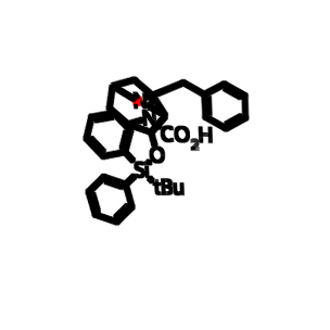 CC(C)(C)[Si](OC1C2C3CC(CC1N3C(=O)O)CN2Cc1ccccc1)(c1ccccc1)c1ccccc1